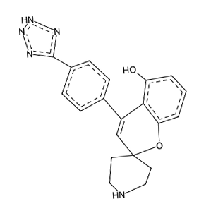 Oc1cccc2c1C(c1ccc(-c3nn[nH]n3)cc1)=CC1(CCNCC1)O2